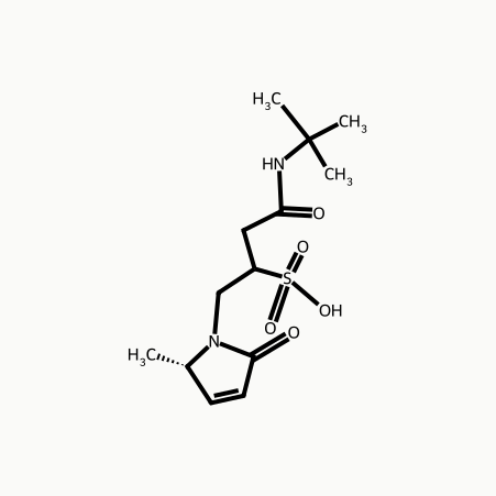 C[C@H]1C=CC(=O)N1CC(CC(=O)NC(C)(C)C)S(=O)(=O)O